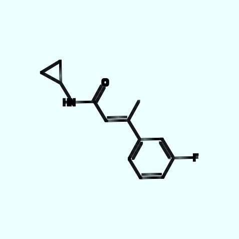 CC(=CC(=O)NC1CC1)c1cccc(F)c1